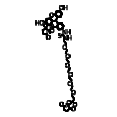 O=C(CCOCCOCCOCCOCCOCCOCCNC(=S)Nc1ccc(C2c3ccc(O)cc3Oc3cc(O)ccc32)c(C(=O)ON2C(=O)CCC2=O)c1)ON1C(=O)CCC1=O